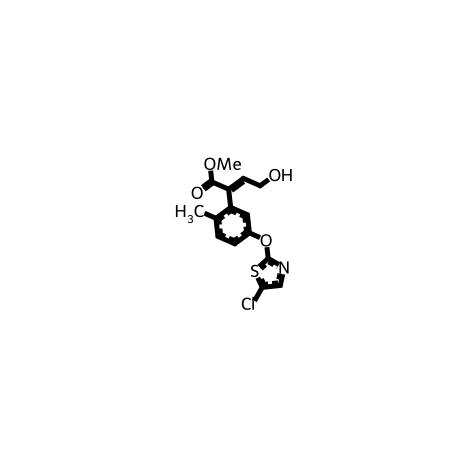 COC(=O)/C(=C/CO)c1cc(Oc2ncc(Cl)s2)ccc1C